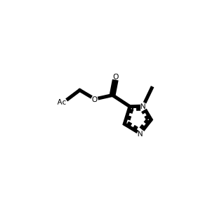 CC(=O)COC(=O)c1cncn1C